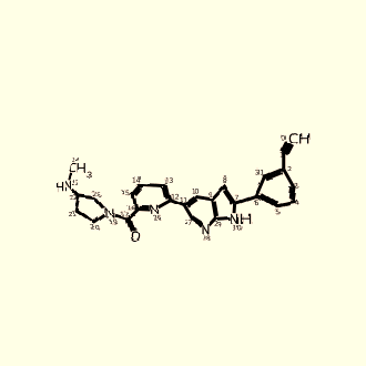 C#Cc1cccc(-c2cc3cc(-c4cccc(C(=O)N5CCC(NC)C5)n4)cnc3[nH]2)c1